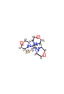 Br[Si](N1CCOCC1)(N1CCOCC1)N1CCOCC1